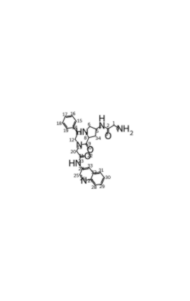 NCC(=O)NC1CNC(C(=O)N(CCc2ccccc2)CC(=O)Nc2cnc3ccccc3c2)C1